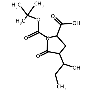 CCC(O)C1CC(C(=O)O)N(C(=O)OC(C)(C)C)C1=O